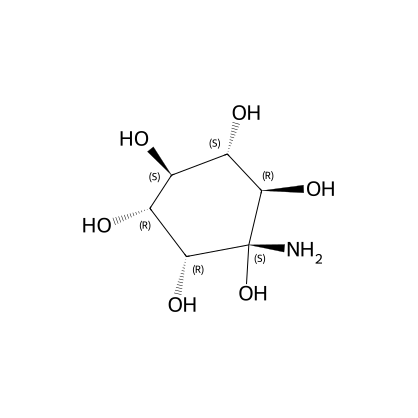 N[C@@]1(O)[C@H](O)[C@H](O)[C@@H](O)[C@H](O)[C@H]1O